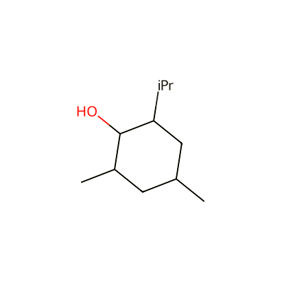 CC1CC(C)C(O)C(C(C)C)C1